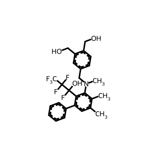 Cc1cc(-c2ccccc2)c(C(O)(F)C(F)(F)C(F)(F)F)c(N(C)Cc2ccc(CO)c(CO)c2)c1C